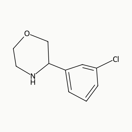 Clc1cccc(C2COCCN2)c1